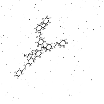 CC1(C)c2cc(/C=C/c3ccccc3)ccc2-c2ccc(N(c3ccc(/C=C/c4cccc5c4oc4ccccc45)cc3)c3ccc(/C=C/C4C=CC=CC4)cc3)cc21